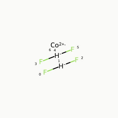 F[H-]F.F[H-]F.[Co+2]